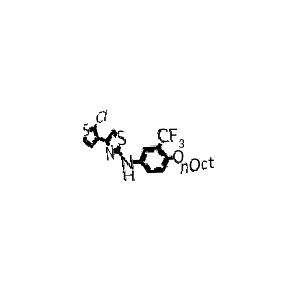 CCCCCCCCOc1ccc(Nc2nc(-c3ccsc3Cl)cs2)cc1C(F)(F)F